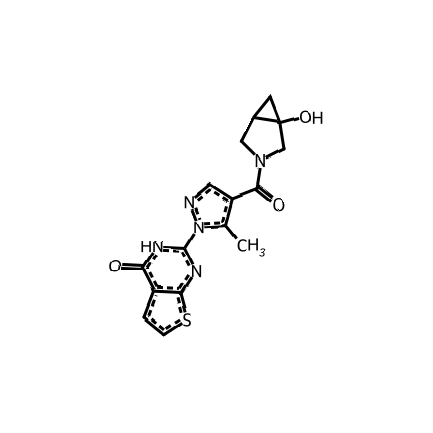 Cc1c(C(=O)N2CC3CC3(O)C2)cnn1-c1nc2sccc2c(=O)[nH]1